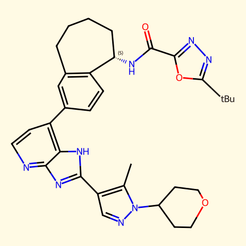 Cc1c(-c2nc3nccc(-c4ccc5c(c4)CCCC[C@@H]5NC(=O)c4nnc(C(C)(C)C)o4)c3[nH]2)cnn1C1CCOCC1